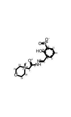 C[N+]1(CC(=O)NN=Cc2cccc([N+](=O)[O-])c2O)CCOCC1